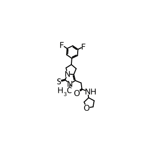 Cn1c(CC(=O)NC2CCOC2)c2n(c1=S)CC(c1cc(F)cc(F)c1)C2